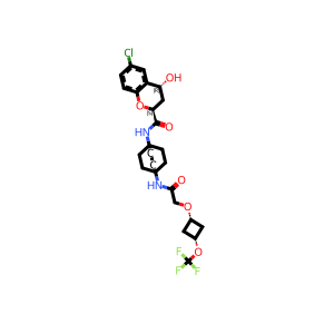 O=C(CO[C@H]1C[C@@H](OC(F)(F)F)C1)NC12CCC(NC(=O)[C@@H]3C[C@@H](O)c4cc(Cl)ccc4O3)(CC1)CC2